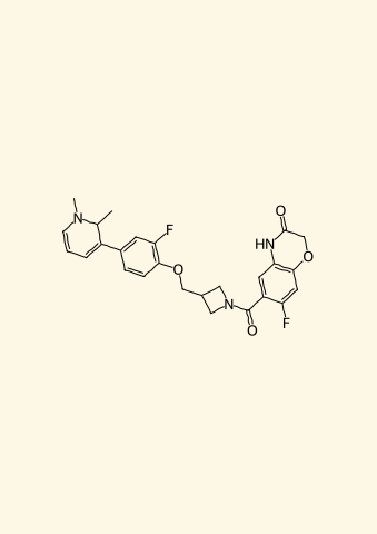 CC1C(c2ccc(OCC3CN(C(=O)c4cc5c(cc4F)OCC(=O)N5)C3)c(F)c2)=CC=CN1C